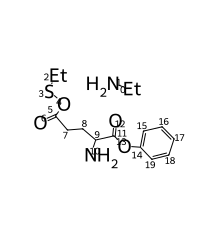 CCN.CCSOC(=O)CCC(N)C(=O)Oc1ccccc1